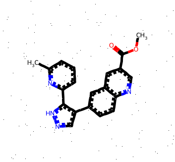 COC(=O)c1cnc2ccc(-c3cn[nH]c3-c3cccc(C)n3)cc2c1